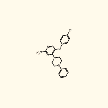 Nc1ncc(Oc2ccc(Cl)cc2)c(N2CCN(c3ccccc3)CC2)n1